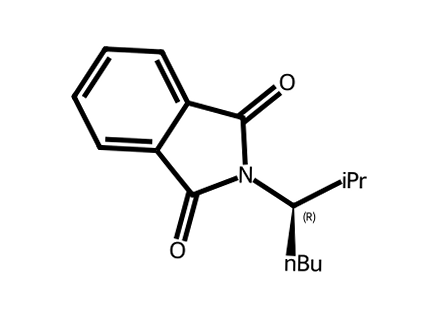 CCCC[C@H](C(C)C)N1C(=O)c2ccccc2C1=O